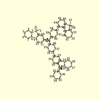 CC1(C)c2ccccc2-c2ccc(N(c3ccc(-c4ccc5c(c4)c4ccccc4n5-c4ccccc4)cc3)c3ccc(-c4cccc5c4-c4ccccc4C5(C)C)cc3)cc21